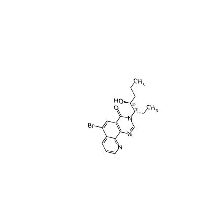 CCC[C@H](O)[C@H](CC)n1cnc2c(cc(Br)c3cccnc32)c1=O